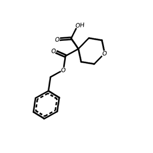 O=C(O)C1(C(=O)OCc2ccccc2)CCOCC1